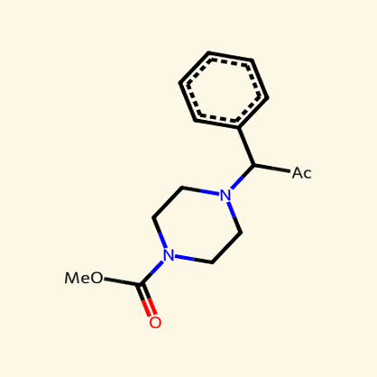 COC(=O)N1CCN(C(C(C)=O)c2ccccc2)CC1